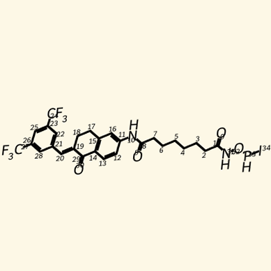 O=C(CCCCCCC(=O)Nc1ccc2c(c1)CC/C(=C\c1cc(C(F)(F)F)cc(C(F)(F)F)c1)C2=O)NOPI